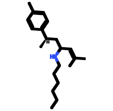 CCCCCCNC(C=C(C)C)C[C@H](C)c1ccc(C)cc1